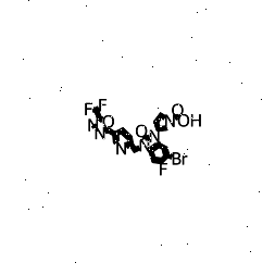 O=C(O)N1CC[C@H](n2c(=O)n(Cc3ccc(-c4nnc(C(F)F)o4)cn3)c3cc(F)c(Br)cc32)C1